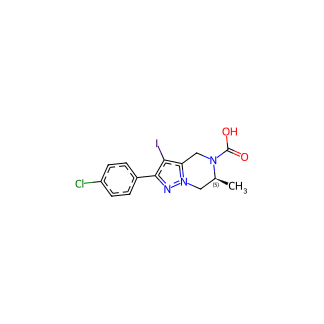 C[C@H]1Cn2nc(-c3ccc(Cl)cc3)c(I)c2CN1C(=O)O